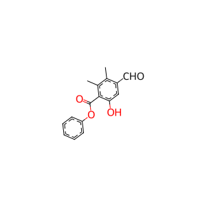 Cc1c(C=O)cc(O)c(C(=O)Oc2ccccc2)c1C